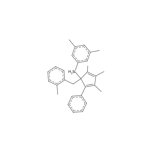 CC1=C(C)C(Cc2ccccc2C)([SiH2]c2cc(C)cc(C)c2)C(c2ccccc2)=C1C